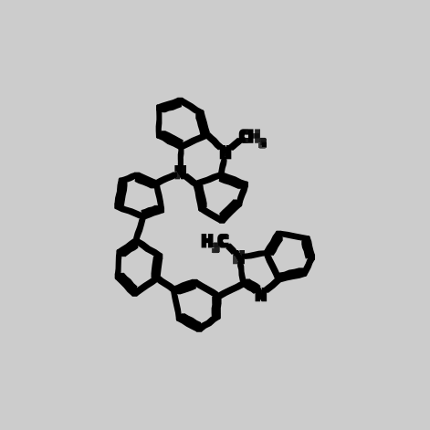 CN1c2ccccc2N(c2cccc(-c3cccc(-c4cccc(-c5nc6ccccc6n5C)c4)c3)c2)c2ccccc21